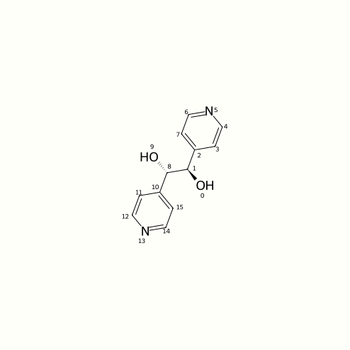 O[C@H](c1ccncc1)[C@@H](O)c1ccncc1